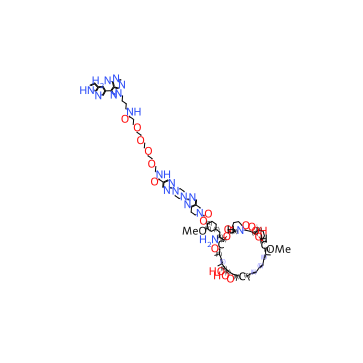 CO[C@H]1C[C@@H]2CC[C@@H](C)[C@@](O)(O2)C(=O)C(=O)N2CCCC[C@H]2C(=O)O[C@H]([C@H](N)C[C@@H]2CC[C@@H](OC(=O)N3CCc4nc(N5CCN(c6ncc(C(=O)NCCOCCOCCOCCOCCC(=O)NCCCCn7nc(-c8cnc9[nH]ccc9c8)c8c(N)ncnc87)cn6)CC5)ncc4C3)[C@H](OC)C2)CC(=O)[C@H](C)/C=C(\C)[C@@H](O)[C@@H](O)C(=O)[C@H](C)C[C@H](C)/C=C/C=C/C=C/1C